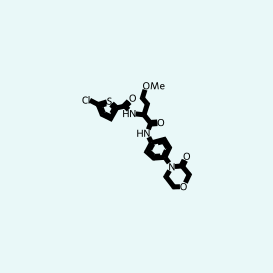 COCCC(NC(=O)c1ccc(Cl)s1)C(=O)Nc1ccc(N2CCOCC2=O)cc1